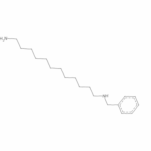 NCCCCCCCCCCCCNCc1ccccc1